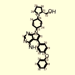 Nc1ncnc2c1c(-c1ccc(Oc3ccccc3)cc1)cn2C1CCC(N2CCC[C@H]2CO)CC1